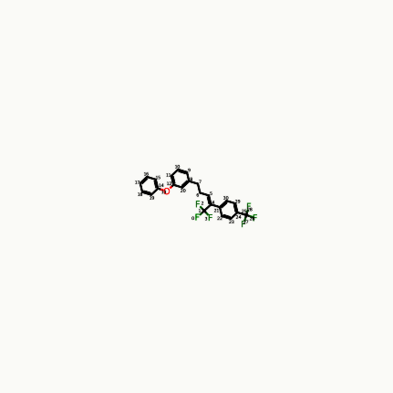 FC(F)(F)C(=CCCc1cccc(Oc2ccccc2)c1)c1ccc(C(F)(F)F)cc1